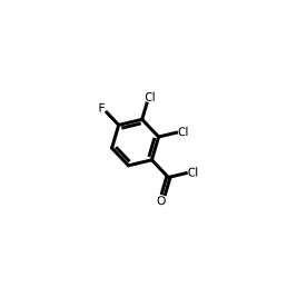 O=C(Cl)c1ccc(F)c(Cl)c1Cl